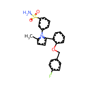 Cc1ccc(-c2ccccc2OCc2ccc(F)cc2)n1-c1cccc(S(N)(=O)=O)c1